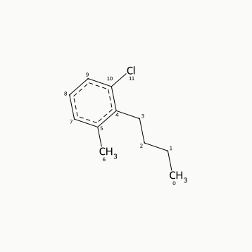 CCCCc1c(C)cccc1Cl